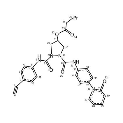 C#Cc1ccc(NC(=O)N2CC(OC(=O)CC(C)C)CN2C(=O)Nc2ccc(-n3ccccc3=O)cc2)cc1